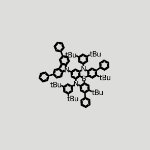 CC(C)(C)c1cc(N2c3cc(-c4ccccc4)c(C(C)(C)C)cc3B3c4cc(C(C)(C)C)c(-c5ccccc5)cc4N(c4cc(C(C)(C)C)cc(C(C)(C)C)c4)c4cc(-n5c6ccc(-c7ccccc7)cc6c6cc(-c7ccccc7)ccc65)cc2c43)cc(C(C)(C)C)c1